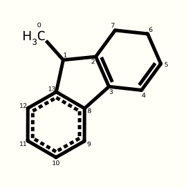 CC1C2=C(C=CCC2)c2ccccc21